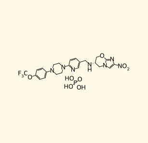 O=P(O)(O)O.O=[N+]([O-])c1cn2c(n1)OC[C@@H](NCc1ccc(N3CCN(c4ccc(OC(F)(F)F)cc4)CC3)nc1)C2